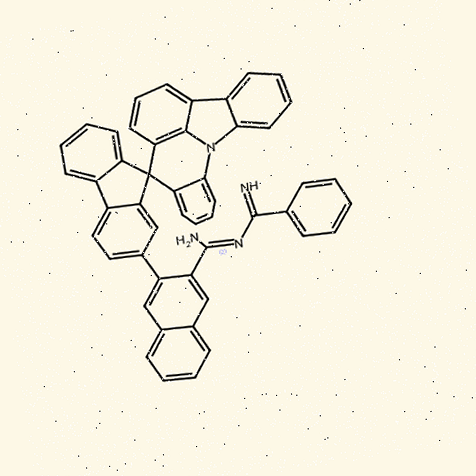 N=C(/N=C(\N)c1cc2ccccc2cc1-c1ccc2c(c1)C1(c3ccccc3-2)c2ccccc2-n2c3ccccc3c3cccc1c32)c1ccccc1